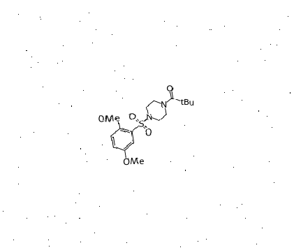 COc1ccc(OC)c(S(=O)(=O)N2CCN(C(=O)C(C)(C)C)CC2)c1